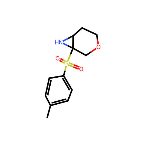 Cc1ccc(S(=O)(=O)C23COCCC2N3)cc1